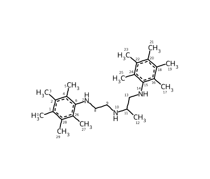 Cc1c(C)c(C)c(NCCNC(C)CNc2c(C)c(C)c(C)c(C)c2C)c(C)c1C